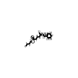 CCCCOC(=O)CCCC(C)NCc1ccccc1